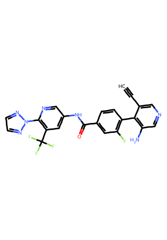 C#Cc1cncc(N)c1-c1ccc(C(=O)Nc2cnc(-n3nccn3)c(C(F)(F)F)c2)cc1F